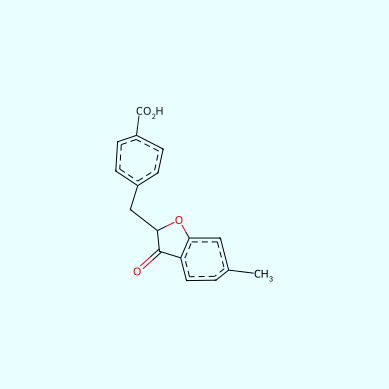 Cc1ccc2c(c1)OC(Cc1ccc(C(=O)O)cc1)C2=O